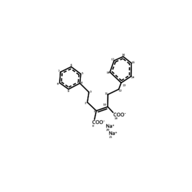 O=C([O-])C(CCc1ccccc1)=C(CCc1ccccc1)C(=O)[O-].[Na+].[Na+]